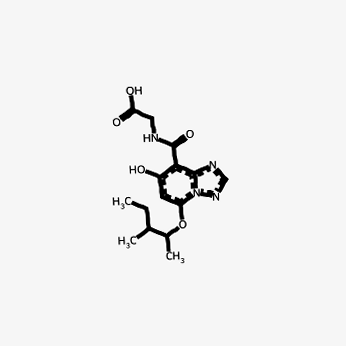 CCC(C)C(C)Oc1cc(O)c(C(=O)NCC(=O)O)c2ncnn12